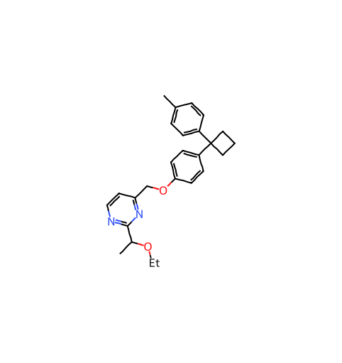 CCOC(C)c1nccc(COc2ccc(C3(c4ccc(C)cc4)CCC3)cc2)n1